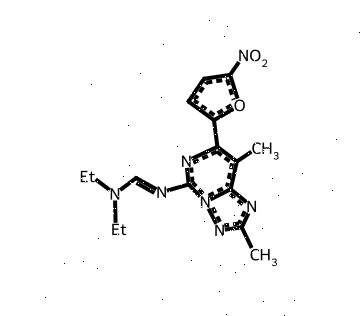 CCN(C=Nc1nc(-c2ccc([N+](=O)[O-])o2)c(C)c2nc(C)nn12)CC